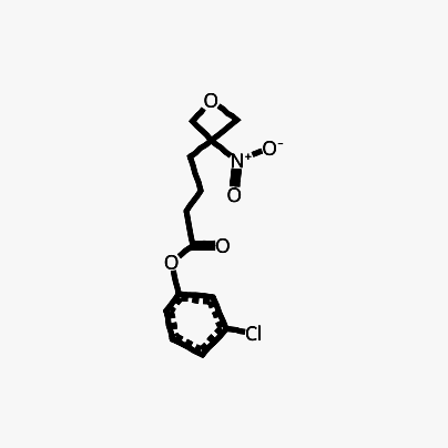 O=C(CCCC1([N+](=O)[O-])COC1)Oc1cccc(Cl)c1